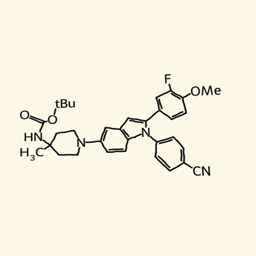 COc1ccc(-c2cc3cc(N4CCC(C)(NC(=O)OC(C)(C)C)CC4)ccc3n2-c2ccc(C#N)cc2)cc1F